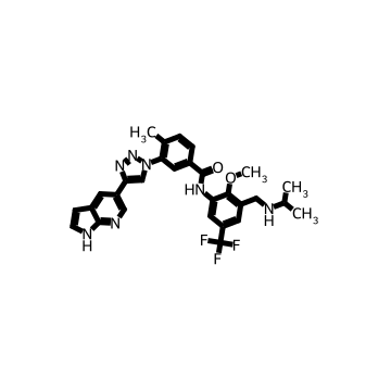 COc1c(CNC(C)C)cc(C(F)(F)F)cc1NC(=O)c1ccc(C)c(-n2cc(-c3cnc4[nH]ccc4c3)nn2)c1